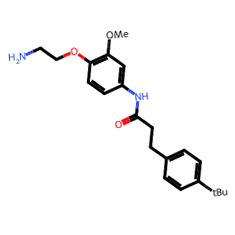 COc1cc(NC(=O)CCc2ccc(C(C)(C)C)cc2)ccc1OCCN